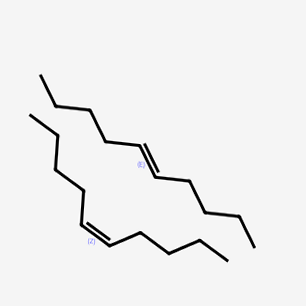 CCCC/C=C/CCCC.CCCC/C=C\CCCC